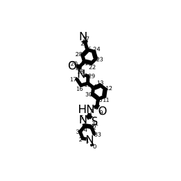 CN1CCc2nc(NC(=O)c3cccc(C4CCN(C(=O)c5cccc(C#N)c5)C4)c3)sc2C1